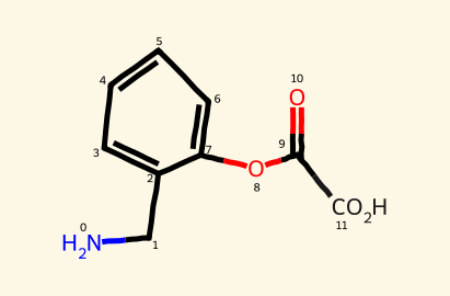 NCc1ccccc1OC(=O)C(=O)O